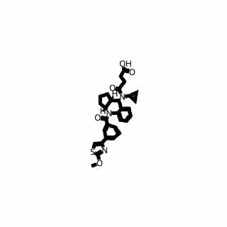 COc1nc(-c2cccc(C(=O)N3c4ccccc4[C@H](N(C(=O)CCC(=O)O)C4CC4)[C@H]4CCC[C@H]43)c2)cs1